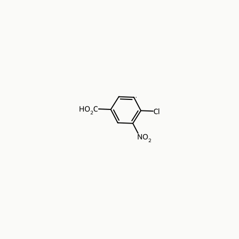 O=C(O)c1c[c]c(Cl)c([N+](=O)[O-])c1